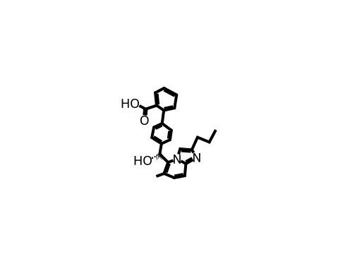 CCCc1cn2c([C@H](O)c3ccc(-c4ccccc4C(=O)O)cc3)c(C)ccc2n1